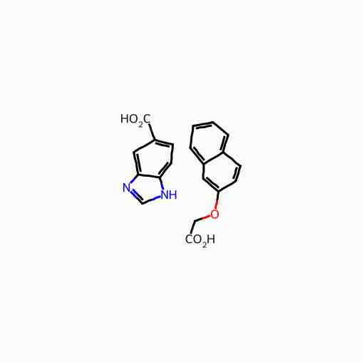 O=C(O)COc1ccc2ccccc2c1.O=C(O)c1ccc2[nH]cnc2c1